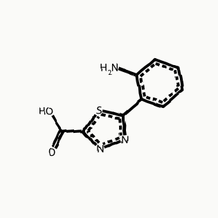 Nc1ccccc1-c1nnc(C(=O)O)s1